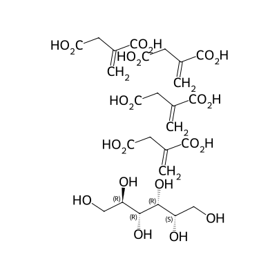 C=C(CC(=O)O)C(=O)O.C=C(CC(=O)O)C(=O)O.C=C(CC(=O)O)C(=O)O.C=C(CC(=O)O)C(=O)O.OC[C@@H](O)[C@@H](O)[C@H](O)[C@@H](O)CO